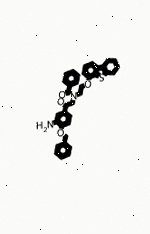 Nc1cc(C(=O)CN(CCOc2cccc3c4c(sc23)CCCC4)C(=O)c2ccccc2)ccc1OCc1ccccc1